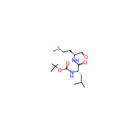 CSCC[C@@H](C=O)NC(=O)[C@H](CC(C)C)NC(=O)OC(C)(C)C